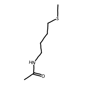 CSCCCCNC(C)=O